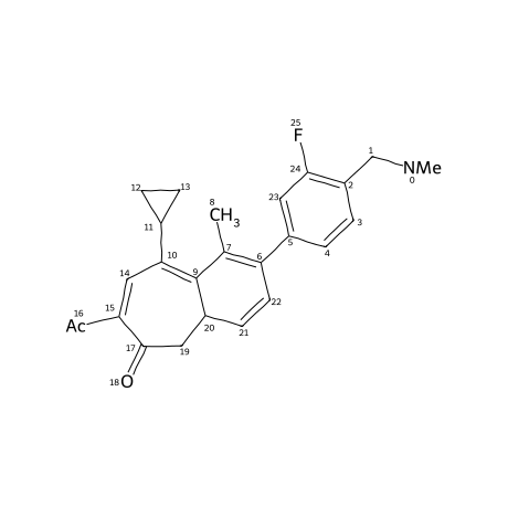 CNCc1ccc(C2=C(C)C3=C(C4CC4)C=C(C(C)=O)C(=O)CC3C=C2)cc1F